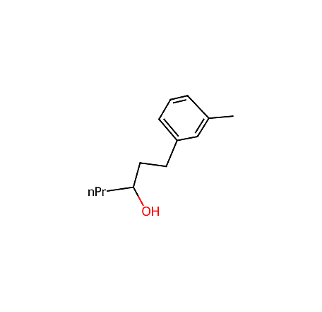 CCCC(O)CCc1cccc(C)c1